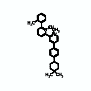 Cc1ccccc1-c1cccc(-c2cc(-c3ccc(C4CCC(C)(C)CC4)cc3)cc[n+]2C)[n+]1C